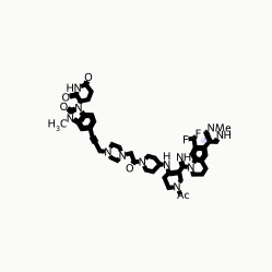 CN/C=C(\C=N)c1cc2c(cc1C(F)F)N(C(=N)C1=C(NC3CCN(C(=O)CN4CCN(CC#Cc5ccc6c(c5)n(C)c(=O)n6C5CCC(=O)NC5=O)CC4)CC3)CCN(C(C)=O)C1)CCC2